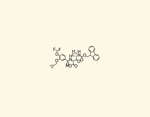 C[C@H](NC(=O)OCC1c2ccccc2-c2ccccc21)C(=O)C(NC(=O)c1ccc(OC(F)F)c(OCC2CC2)c1)C(=O)O